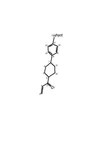 C=CC(=O)C1CCC(c2ccc(CCCCC)cc2)CC1